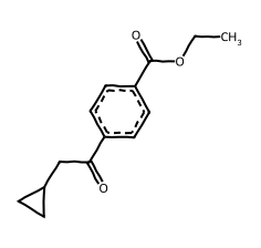 CCOC(=O)c1ccc(C(=O)CC2CC2)cc1